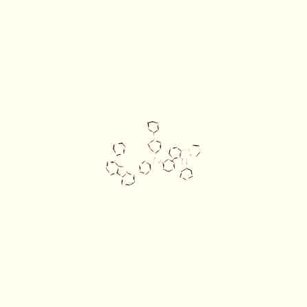 C1=CC2c3ccccc3N(c3ccccc3-c3ccc(N(c4ccc(-c5ccccc5)cc4)c4ccc(-c5cccc6c5oc5c(-c7ccccc7)cccc56)cc4)cc3)C2C=C1